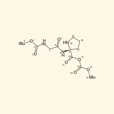 CC(C)(C)OC(=O)NCC(=O)N[C@]1(C(=O)OC(=O)OC(C)(C)C)CCCN1